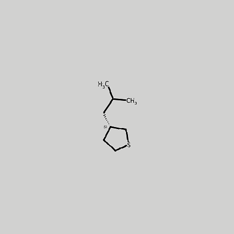 CC(C)C[C@H]1CCSC1